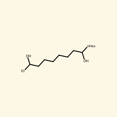 CCCCCCC(O)CCCCCCC(O)CC